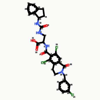 O=C(NCC(NC(=O)c1c(Cl)cc2c(c1Cl)CCN(Cc1cccc(Cl)c1)C2=O)C(=O)O)NC1CCc2ccccc21